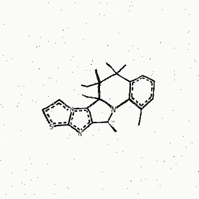 Cc1cccc2c1N1[C@@H](C)c3nc4sccn4c3C1(C)C(C)(C)C2(C)C